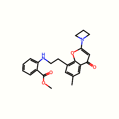 COC(=O)c1ccccc1NCCc1cc(C)cc2c(=O)cc(N3CCC3)oc12